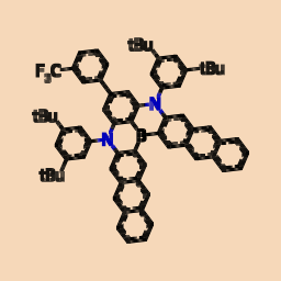 CC(C)(C)c1cc(N2c3cc4cc5ccccc5cc4cc3B3c4cc5cc6ccccc6cc5cc4N(c4cc(C(C)(C)C)cc(C(C)(C)C)c4)c4cc(-c5cccc(C(F)(F)F)c5)cc2c43)cc(C(C)(C)C)c1